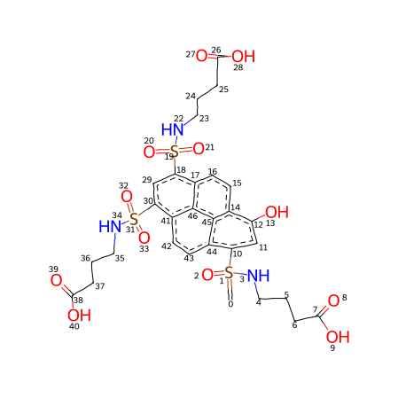 C=S(=O)(NCCCC(=O)O)c1cc(O)c2ccc3c(S(=O)(=O)NCCCC(=O)O)cc(S(=O)(=O)NCCCC(=O)O)c4ccc1c2c34